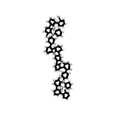 Cc1ccccc1-c1cccc2c1oc1c(N(c3ccccc3)c3ccc(-c4cccc5c4c4cccc6c7cc8c(cc7n5c64)c4cccc5c6c(-c7ccc(N(c9ccccc9)c9c(C)ccc%10c9oc9c(-c%11ccccc%11C)cccc9%10)cc7)cccc6n8c45)cc3)c(C)ccc12